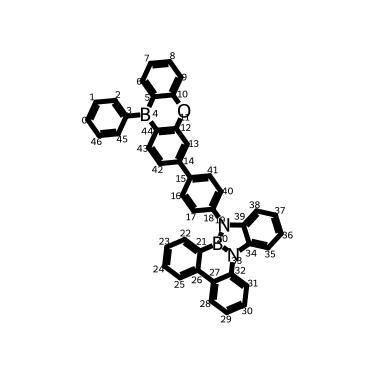 c1ccc(B2c3ccccc3Oc3cc(-c4ccc(N5B6c7ccccc7-c7ccccc7N6c6ccccc65)cc4)ccc32)cc1